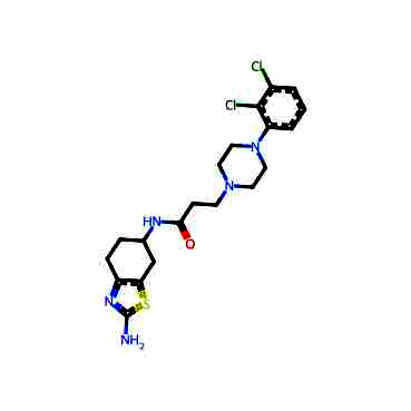 Nc1nc2c(s1)CC(NC(=O)CCN1CCN(c3cccc(Cl)c3Cl)CC1)CC2